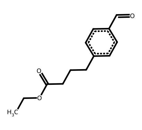 CCOC(=O)CCCc1ccc(C=O)cc1